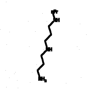 [CH2]CCNCCCNCCCN